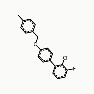 Cc1ccc(COc2ccc(-c3cccc(F)c3Cl)cc2)cc1